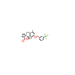 C=C1C(=O)O[C@H]2c3c(C)c(OCc4cccc(C(F)(F)F)c4)cc(C)c3CC[C@@H]12